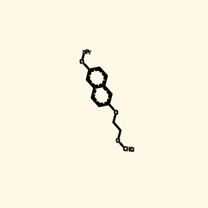 CCCOc1ccc2cc(OCCOC=O)ccc2c1